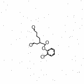 O=CCCCC(CC=O)C(=O)Oc1ccccc1Cl